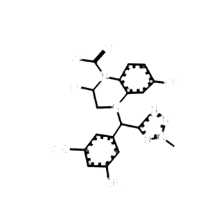 CCC1CN(C(c2cc(C(F)(F)F)cc(C(F)(F)F)c2)c2nnn(C)n2)c2cc(C(F)(F)F)ccc2N1C(=O)Cl